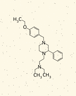 CCOc1ccc(CN2CCN(CCN(CC)CC)C(c3ccccc3)C2)cc1